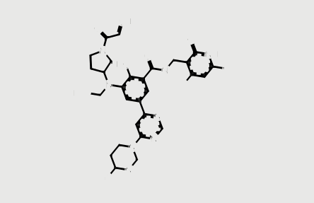 C=CC(=O)N1CCC(N(CC)c2cc(-c3cc(N4CCC(C)NC4)ncn3)cc(C(=O)NCc3c(C)cc(C)[nH]c3=O)c2C)C1